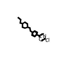 CCCC1CCC(CCc2ccc(-c3ccc(Cl)nc3)cc2)CC1